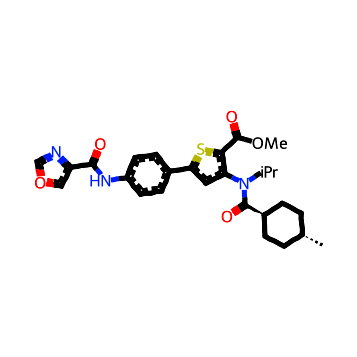 COC(=O)c1sc(-c2ccc(NC(=O)c3cocn3)cc2)cc1N(C(=O)[C@H]1CC[C@H](C)CC1)C(C)C